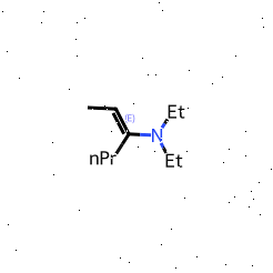 C/C=C(\CCC)N(CC)CC